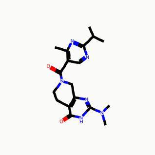 Cc1nc(C(C)C)ncc1C(=O)N1CCc2c(nc(N(C)C)[nH]c2=O)C1